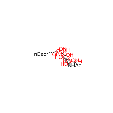 CCCCCCCCCCCCC/C=C/[C@@H](O)CCO[C@@H]1OC(CO)[C@@H](O[C@@H]2OC3CO[C@@H]3C(O[C@@H]3C[C@@H](O)[C@@H](NC(C)=O)C(C[C@H](O)CO)O3)[C@@H]2O)C(O)[C@@H]1O